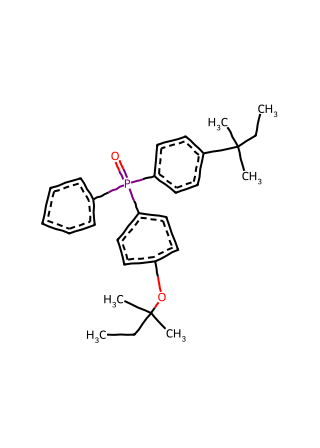 CCC(C)(C)Oc1ccc(P(=O)(c2ccccc2)c2ccc(C(C)(C)CC)cc2)cc1